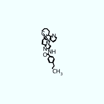 CCCc1ccc(C(=O)Nc2cn3nc(N4CCCCCC4c4ccccn4)ccc3n2)cc1